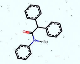 CCCCN(C(=O)C(c1ccccc1)c1ccccc1)c1ccccc1